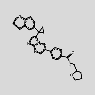 O=C(NCC1CCCO1)c1ccc(-c2cnc3ncc(C4(c5ccc6ncccc6c5)CC4)n3n2)cc1